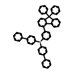 c1ccc(-c2ccc(N(c3ccc(-c4ccccc4)cc3)c3cccc(-c4cccc5c4-c4ccccc4C5(c4ccccc4)c4ccccc4)c3)cc2)cc1